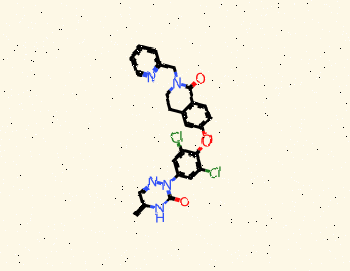 C=C1C=NN(c2cc(Cl)c(Oc3ccc4c(c3)CCN(Cc3ccccn3)C4=O)c(Cl)c2)C(=O)N1